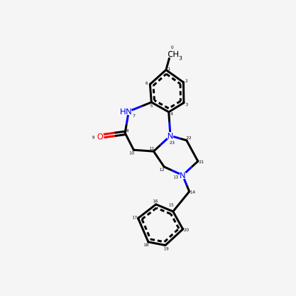 Cc1ccc2c(c1)NC(=O)CC1CN(Cc3ccccc3)CCN21